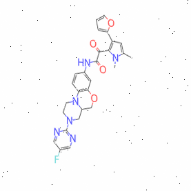 Cc1cc(-c2ccco2)c(C(=O)C(=O)Nc2ccc3c(c2)OCC2CN(c4ncc(F)cn4)CCN32)n1C